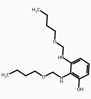 CCCCOCNc1cccc(O)c1NCOCCCC